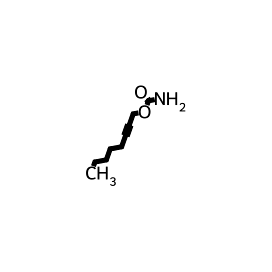 CCCCCC#CCOC(N)=O